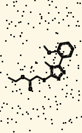 CCOC(=O)CSc1nnc(-c2ccccc2OC)n1C